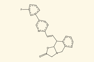 O=C1CN2Cc3ccccc3C(/C=C/c3ccc(-c4cccc(F)c4)cn3)C2O1